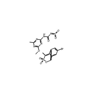 CC1=c2c3cc(Br)cc2=C3OS1(=O)=O.COc1nc(C)nc(NC(=O)N=S(=O)=O)n1